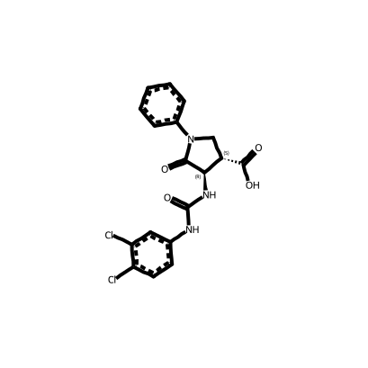 O=C(Nc1ccc(Cl)c(Cl)c1)N[C@H]1C(=O)N(c2ccccc2)C[C@@H]1C(=O)O